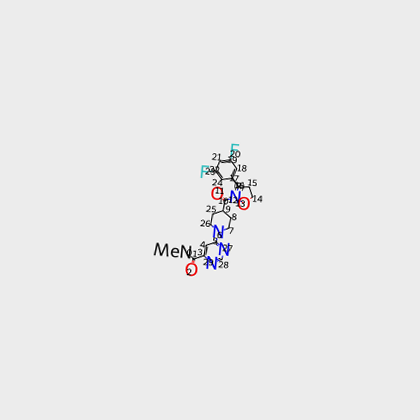 CNC(=O)c1cc(N2CCC(C(=O)N3OCC[C@@H]3c3cc(F)cc(F)c3)CC2)ncn1